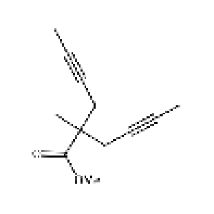 CC#CCC(C)(CC#CC)C(=O)OC